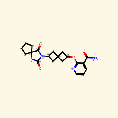 NC(=O)c1cccnc1OC1CC2(C1)CC(N1C(=O)NC3(CCCC3)C1=O)C2